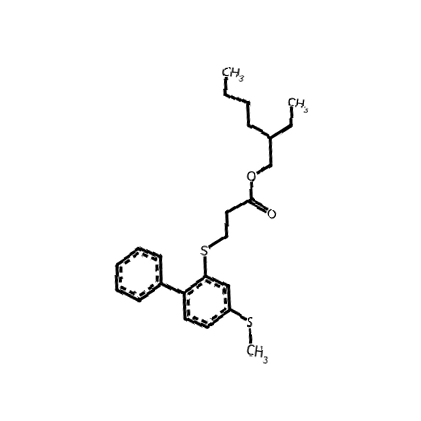 CCCCC(CC)COC(=O)CCSc1cc(SC)ccc1-c1ccccc1